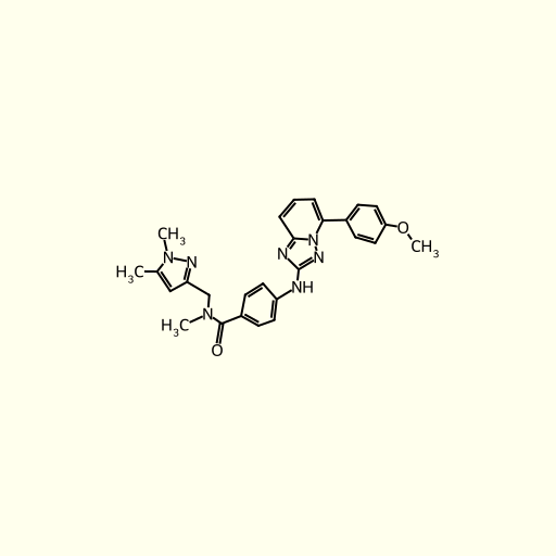 COc1ccc(-c2cccc3nc(Nc4ccc(C(=O)N(C)Cc5cc(C)n(C)n5)cc4)nn23)cc1